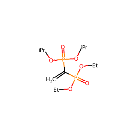 C=C(P(=O)(OCC)OCC)P(=O)(OC(C)C)OC(C)C